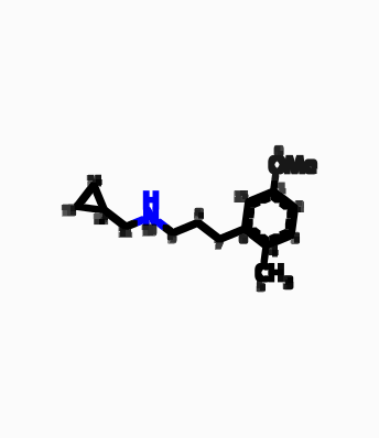 COc1ccc(C)c(CCCNCC2CC2)c1